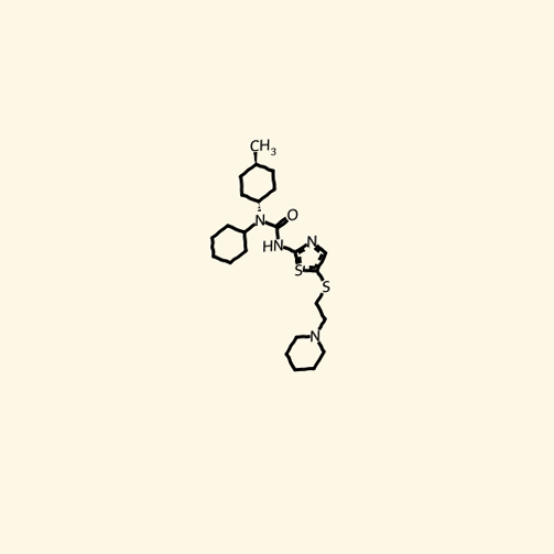 C[C@H]1CC[C@H](N(C(=O)Nc2ncc(SCCN3CCCCC3)s2)C2CCCCC2)CC1